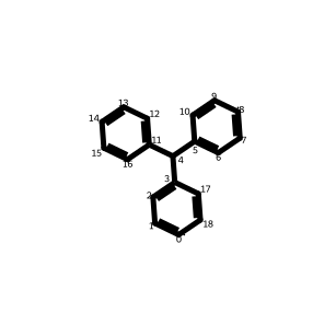 [c]1ccc(C(c2cc[c]cc2)c2ccccc2)cc1